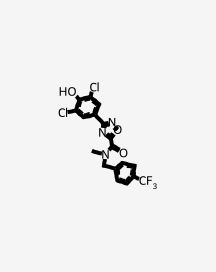 CN(Cc1ccc(C(F)(F)F)cc1)C(=O)c1nc(-c2cc(Cl)c(O)c(Cl)c2)no1